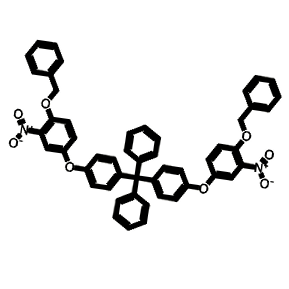 O=[N+]([O-])c1cc(Oc2ccc(C(c3ccccc3)(c3ccccc3)c3ccc(Oc4ccc(OCc5ccccc5)c([N+](=O)[O-])c4)cc3)cc2)ccc1OCc1ccccc1